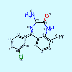 CC(C)c1cccc2c1NC(=O)C(N)N=C2c1cccc(Cl)c1